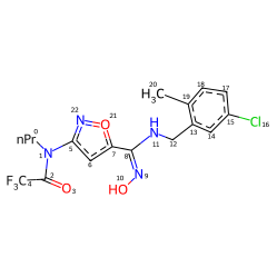 CCCN(C(=O)C(F)(F)F)c1cc(C(=NO)NCc2cc(Cl)ccc2C)on1